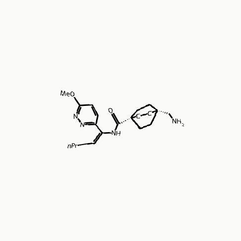 CCC/C=C(/NC(=O)[C@]12CC[C@](CN)(CC1)CC2)c1ccc(OC)nn1